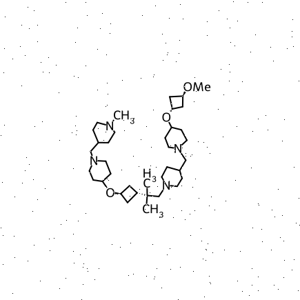 CO[C@H]1C[C@H](OC2CCN(CC3CCN(CC(C)(C)[C@H]4C[C@H](OC5CCN(CC6CCN(C)CC6)CC5)C4)CC3)CC2)C1